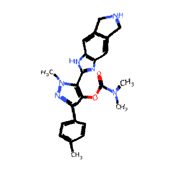 Cc1ccc(-c2nn(C)c(-c3nc4cc5c(cc4[nH]3)CNC5)c2OC(=O)N(C)C)cc1